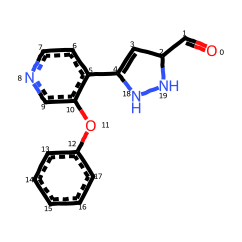 O=CC1C=C(c2ccncc2Oc2ccccc2)NN1